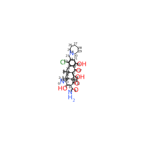 CN(C)[C@@H]1C(O)=C(C(N)=O)C(=O)[C@H]2C(O)=C3C(=O)c4c(O)cc(CN5CCCCCC5)c(Cl)c4C[C@H]3C[C@H]21